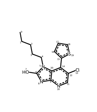 CCCCCn1c(O)nc2ncc(Cl)c(-c3cccs3)c21